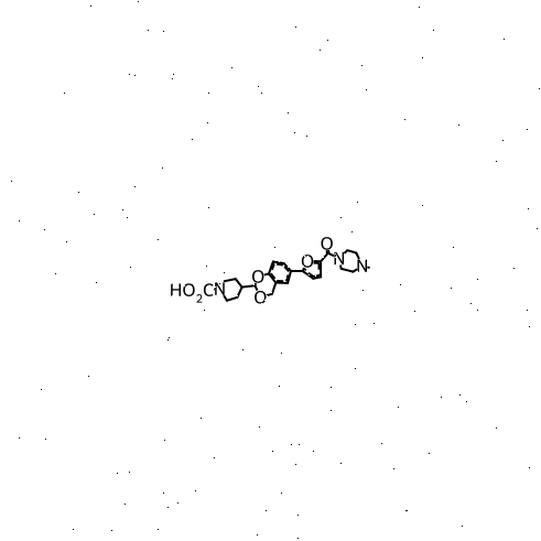 CN1CCN(C(=O)c2ccc(-c3ccc4c(c3)COC(C3CCN(C(=O)O)CC3)O4)o2)CC1